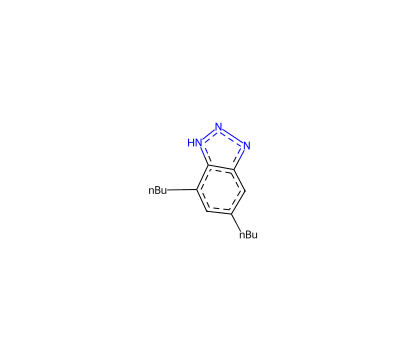 CCCCc1cc(CCCC)c2[nH]nnc2c1